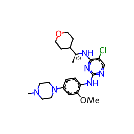 COc1cc(N2CCN(C)CC2)ccc1Nc1ncc(Cl)c(N[C@@H](C)C2CCOCC2)n1